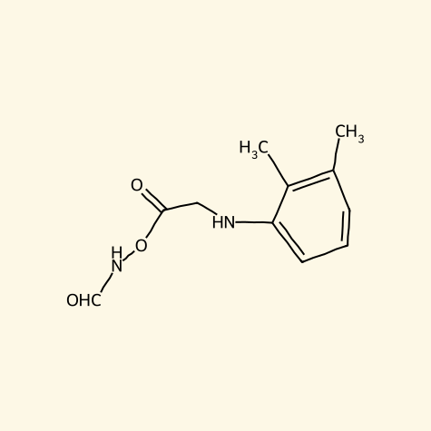 Cc1cccc(NCC(=O)ONC=O)c1C